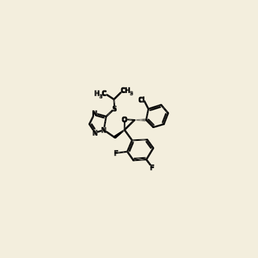 CC(C)Sc1ncnn1C[C@@]1(c2ccc(F)cc2F)O[C@@H]1c1ccccc1Cl